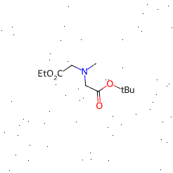 CCOC(=O)CN(C)CC(=O)OC(C)(C)C